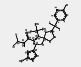 Cc1ccc(C(C)(C)N2CCC(CCc3ccc(F)s3)([C@@H](NC(=O)NC(C)C)C(F)(F)F)C2)cn1